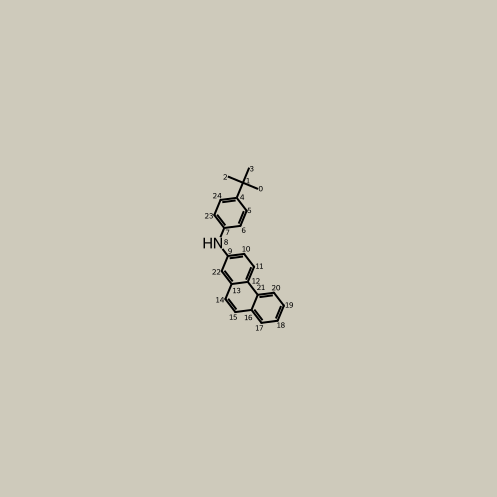 CC(C)(C)c1ccc(Nc2ccc3c(ccc4ccccc43)c2)cc1